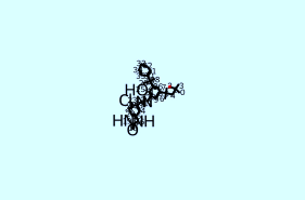 CC(C)(C)CC(C)(C)c1cc(N=Nc2cc3[nH]c(=O)[nH]c3cc2Cl)c(O)c(C(C)(C)c2ccccc2)c1